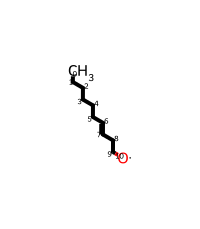 CCCCCC/C=C/CC[O]